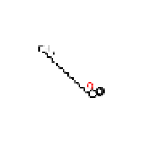 CCCCCCCCCCCCCCCCCCC1CCc2ccccc2C1=O